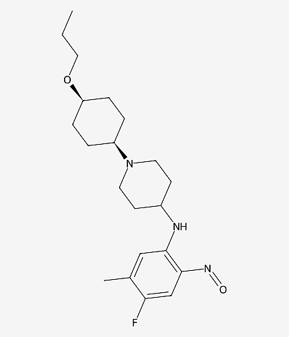 CCCO[C@H]1CC[C@@H](N2CCC(Nc3cc(C)c(F)cc3N=O)CC2)CC1